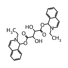 CCN1C=Cc2ccccc2C1OC(=O)C(O)C(O)C(=O)OC1c2ccccc2C=CN1CC